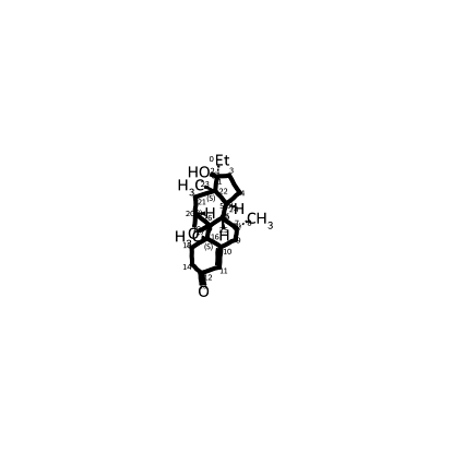 CC[C@]1(O)CC[C@H]2[C@@H]3[C@H](C)CC4=CC(=O)CC[C@]4(C)C34O[C@@H]4C[C@@]21C